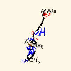 CCc1c(NC(=O)CCC(=O)NCCCCCCCCCCCC(=O)NC)cccc1Sc1ncc(N2CCC(C)(CN)CC2)nc1NC